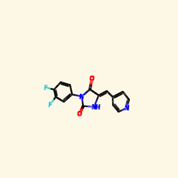 O=C1N/C(=C\c2ccncc2)C(=O)N1c1ccc(F)c(F)c1